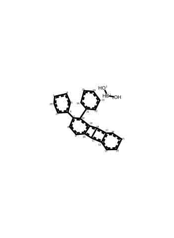 OBO.c1ccc(-c2ccc3c4c5ccccc5c-4c3c2-c2ccccc2)cc1